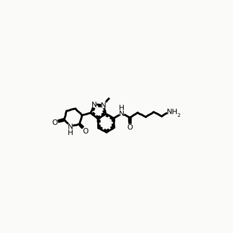 Cn1nc(C2CCC(=O)NC2=O)c2cccc(NC(=O)CCCCN)c21